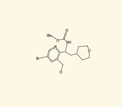 CC(C)(C)OC(=O)NC(CC1CCOCC1)c1ncc(Br)cc1CCl